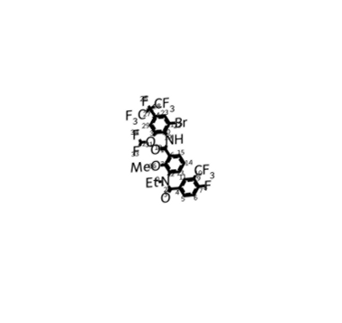 CCN(C(=O)c1ccc(F)c(C(F)(F)F)c1)c1cccc(C(=O)Nc2c(Br)cc(C(F)(C(F)(F)F)C(F)(F)F)cc2OC(F)F)c1OC